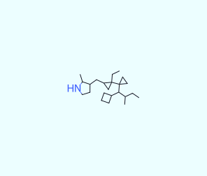 CCC(C)C(C1CCC1)C1(C2(CC)CC2CC2CCNC2C)CC1